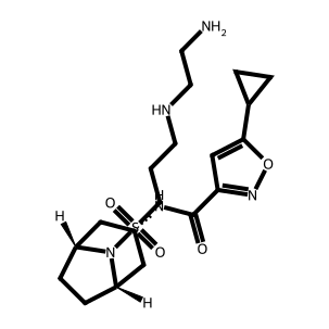 NCCNCCCS(=O)(=O)N1[C@@H]2CC[C@H]1C[C@@H](NC(=O)c1cc(C3CC3)on1)C2